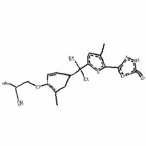 CCC(CC)(c1cc(C)c(-c2n[nH]c(=O)o2)s1)C1C=CC(OCC(O)C(C)(C)C)=C(C)C1